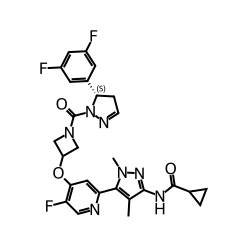 Cc1c(NC(=O)C2CC2)nn(C)c1-c1cc(OC2CN(C(=O)N3N=CC[C@H]3c3cc(F)cc(F)c3)C2)c(F)cn1